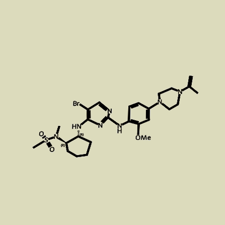 C=C(C)N1CCN(c2ccc(Nc3ncc(Br)c(N[C@@H]4CCCC[C@H]4N(C)S(C)(=O)=O)n3)c(OC)c2)CC1